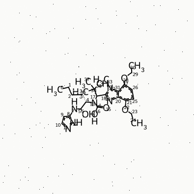 CCCC[C@@H]([C@@H](O)Nc1ccn[nH]1)N(C(=O)O)C(c1nc2c(OCC)ccc(OCC)c2n1C)C(C)(C)C